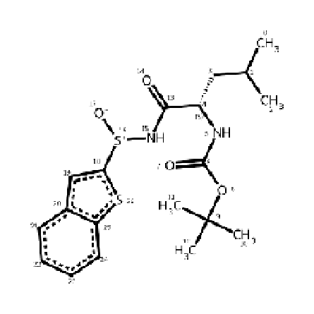 CC(C)C[C@H](NC(=O)OC(C)(C)C)C(=O)N[S+]([O-])c1cc2ccccc2s1